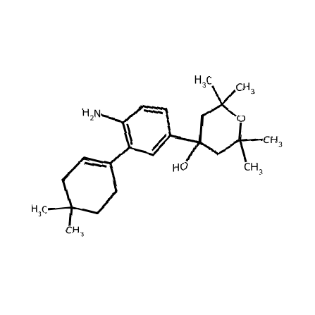 CC1(C)CC=C(c2cc(C3(O)CC(C)(C)OC(C)(C)C3)ccc2N)CC1